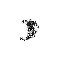 COc1ccc(C(=O)Nc2cccc(CN3C(=O)[C@]4(O[C@H](CCO)[C@@H]([Si](C)(C)F)[C@@H]4C)c4ccccc43)c2)cc1